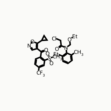 CCOCN(C(=O)CCl)c1c(C)cccc1CC.CS(=O)(=O)c1cc(C(F)(F)F)ccc1C(=O)c1cnoc1C1CC1